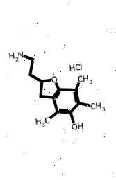 Cc1c(C)c2c(c(C)c1O)CC(CCN)O2.Cl